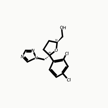 OC[C@@H]1CC[C@](Cn2cncn2)(c2ccc(Cl)cc2Cl)O1